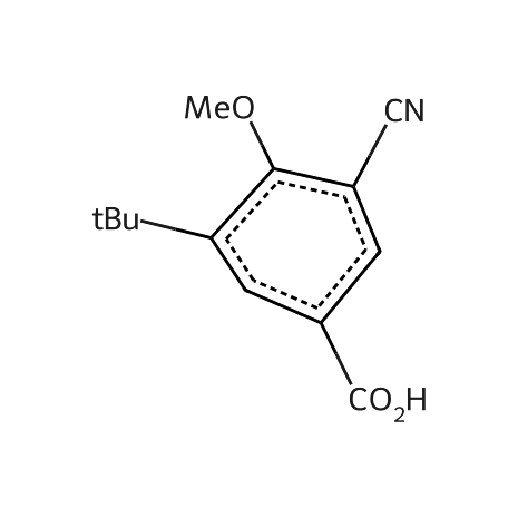 COc1c(C#N)cc(C(=O)O)cc1C(C)(C)C